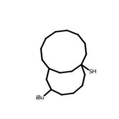 CCC(C)C1CCCCC2(S)CCCCCCCCC(CC2)C1